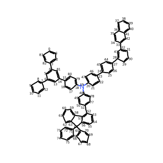 c1ccc(-c2cc(-c3ccccc3)cc(-c3ccc(N(c4ccc(-c5ccc(-c6cccc(-c7ccc8ccccc8c7)c6)cc5)cc4)c4ccc(-c5cccc6c5-c5ccccc5C6(c5ccccc5)c5ccccc5)cc4)cc3)c2)cc1